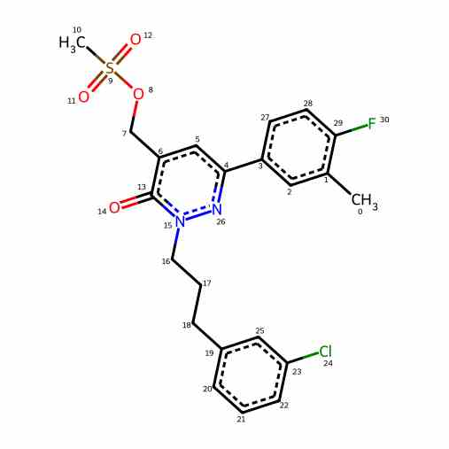 Cc1cc(-c2cc(COS(C)(=O)=O)c(=O)n(CCCc3cccc(Cl)c3)n2)ccc1F